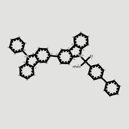 CCCCCC(CC)(c1ccc(-c2ccccc2)cc1)n1c2ccccc2c2cc(-c3ccc4c(c3)c3ccccc3n4-c3ccccc3)ccc21